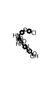 O=C(Nc1ccc(N2CCC(C(=O)O)CC2)nc1)c1nnc(Nc2ccc(Oc3ccc(Cl)cc3)cc2)o1